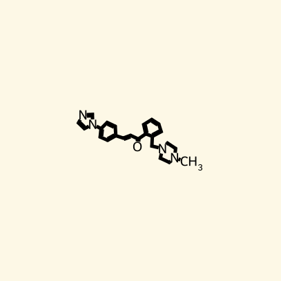 CN1CCN(Cc2ccccc2C(=O)C=Cc2ccc(-n3ccnc3)cc2)CC1